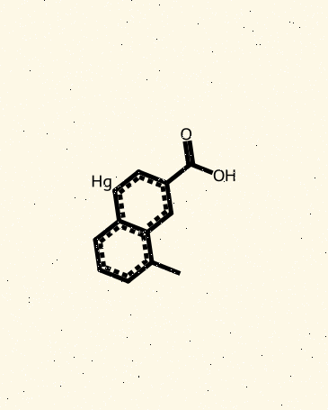 Cc1cccc2ccc(C(=O)O)cc12.[Hg]